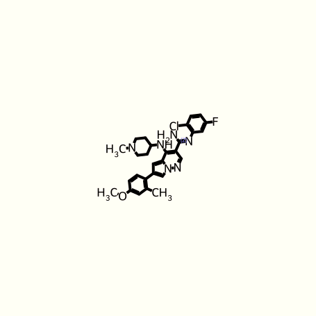 COc1ccc(-c2cc3c(NC4CCN(C)CC4)c(/C(N)=N/c4cc(F)ccc4Cl)cnn3c2)c(C)c1